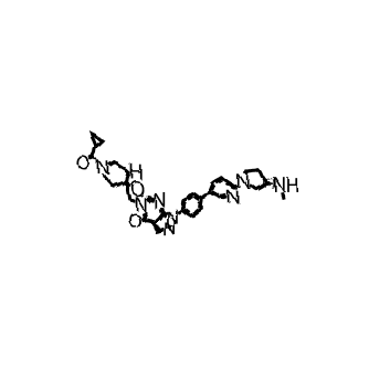 CN[C@H]1CCN(c2ccc(-c3ccc(-n4ncc5c(=O)n(CC6(O)CCN(C(=O)C7CC7)CC6)cnc54)cc3)cn2)C1